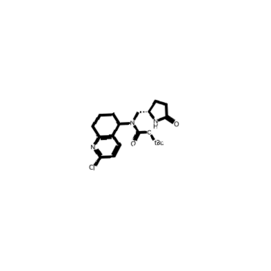 CC(C)(C)OC(=O)N(C[C@@H]1CCC(=O)N1)C1CCCc2nc(Cl)ccc21